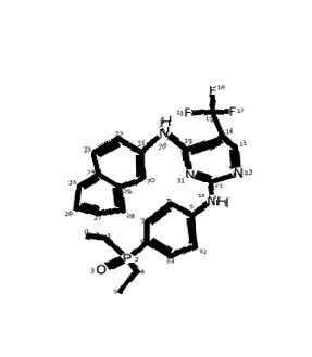 CCP(=O)(CC)c1ccc(Nc2ncc(C(F)(F)F)c(Nc3ccc4ccccc4c3)n2)cc1